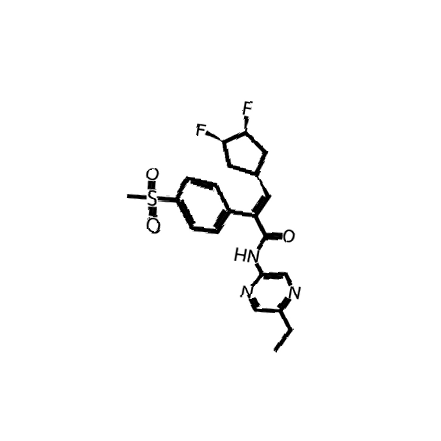 CCc1cnc(NC(=O)/C(=C/[C@H]2C[C@@H](F)[C@@H](F)C2)c2ccc(S(C)(=O)=O)cc2)cn1